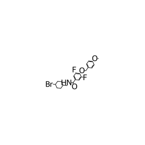 COc1ccc(COc2c(F)cc(C(=O)NCC3CCC(Br)CC3)cc2F)cc1